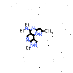 CCN(CC)c1nc2cc(C)nn2c2c1cnc1c2cnn1CC